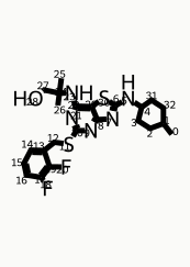 CC1CCC(Nc2nc3nc(SCc4cccc(F)c4F)nc(NC(C)(C)CO)c3s2)CC1